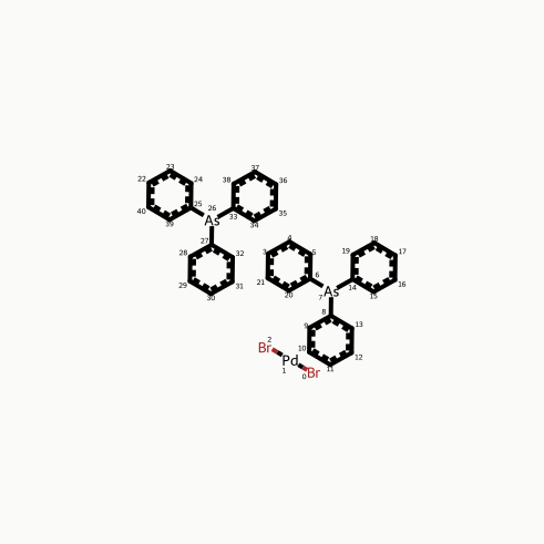 [Br][Pd][Br].c1ccc([As](c2ccccc2)c2ccccc2)cc1.c1ccc([As](c2ccccc2)c2ccccc2)cc1